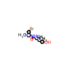 CN1CCC(NC(=O)CCC(Cc2ccc(O)cc2)N(C)C)c2cc(Br)ccc21